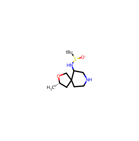 C[C@H]1CC2(CCNCC2N[S@+]([O-])C(C)(C)C)CO1